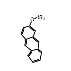 CC(C)(C)Oc1ccc2cc3ccccc3cc2c1